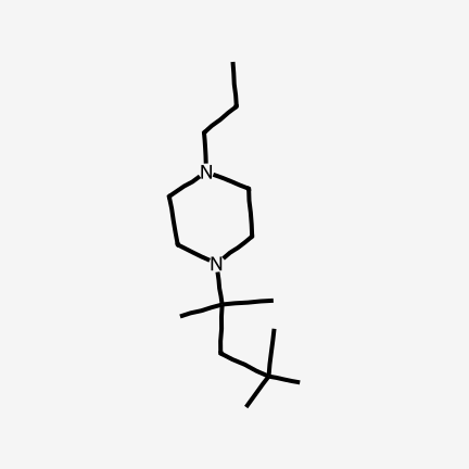 CCCN1CCN(C(C)(C)CC(C)(C)C)CC1